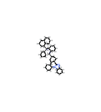 C/C(c1ccc2c(c1)c1ccccc1n1c3ccccc3nc21)=c1/cccc/c1=C(/c1ccccc1)c1cccc2ccccc12